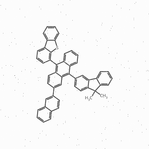 CC1(C)c2ccccc2-c2cc(-c3c4ccccc4c(-c4cccc5c4sc4ccccc45)c4ccc(-c5ccc6ccccc6c5)cc34)ccc21